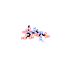 CCOC(=O)N[C@H]1C(O)O[C@H](CO)[C@@H](O)[C@@H]1O[C@H](C)C(=O)N[C@@H](C)C(=O)N[C@H](CCC(=O)O)C(N)=O